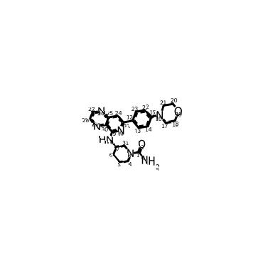 NC(=O)N1CCC[C@@H](Nc2nc(-c3ccc(N4CCOCC4)cc3)cc3nccnc23)C1